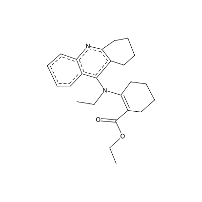 CCOC(=O)C1=C(N(CC)c2c3c(nc4ccccc24)CCCC3)CCCC1